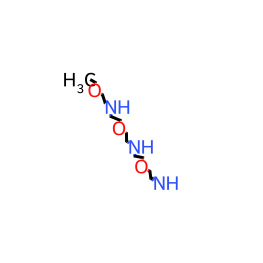 CCOCCNCCOCCNCCOCC=N